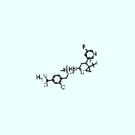 CN(C)[C@H](CNC(=O)CC(c1cncc(F)c1)C1(C(F)(F)F)CC1)Cc1ccc(C(N)=O)cc1Cl